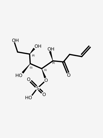 C=CCC(=O)[C@H](O)[C@@H](OS(=O)(=O)O)[C@@H](O)[C@H](O)CO